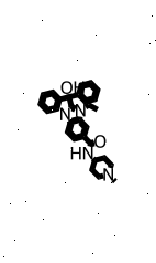 CCn1c(C(O)(c2ccccc2)c2ccccc2)nc2ccc(C(=O)NC3CCN(C)CC3)cc21